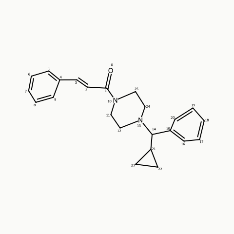 O=C(C=Cc1ccccc1)N1CCN(C(c2ccccc2)C2CC2)CC1